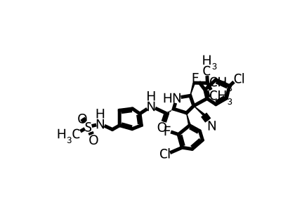 CC(C)(C)C[C@@H]1N[C@@H](C(=O)Nc2ccc(CNS(C)(=O)=O)cc2)[C@H](c2cccc(Cl)c2F)[C@@]1(C#N)c1ccc(Cl)cc1F